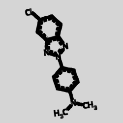 CN(C)c1ccc(-n2nc3ccc(Cl)cc3n2)cc1